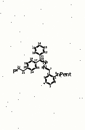 CCCCCc1ccccc1C=NN=C(c1ccccc1)c1ccc(CCF)cc1